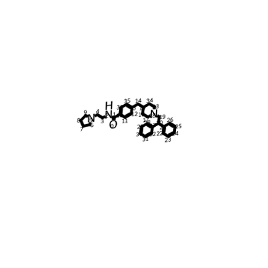 O=C(NCCN1CCCC1)c1ccc(CC2CCN(CC(c3ccccc3)c3ccccc3)CC2)cc1